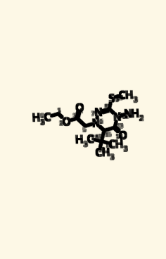 CCOC(=O)CN1N=C(SC)N(N)C(=O)C1C(C)(C)C